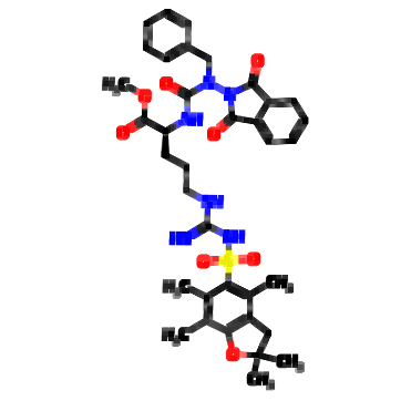 COC(=O)[C@H](CCCNC(=N)NS(=O)(=O)c1c(C)c(C)c2c(c1C)CC(C)(C)O2)NC(=O)N(Cc1ccccc1)N1C(=O)c2ccccc2C1=O